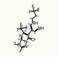 Cc1nn2c(=O)c(/C(C=N)=C/NCCC(F)(F)F)c(C(F)(F)F)nc2n1C